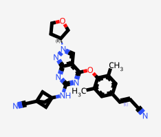 Cc1cc(/C=C/C#N)cc(C)c1Oc1nc(NC23CC(C#N)(C2)C3)nc2nn([C@@H]3CCOC3)cc12